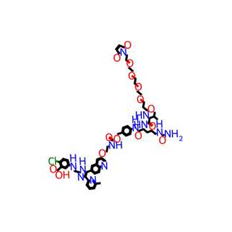 Cc1cccc(-c2nc(CNc3ccc(Cl)c(C(=O)O)c3)[nH]c2-c2ccc3ncc(OCCNC(=O)OCc4ccc(NC(=O)C(CCCNC(N)=O)NC(=O)C(NC(=O)CCOCCOCCOCCOCCN5C(=O)C=CC5=O)C(C)C)cc4)cc3c2)n1